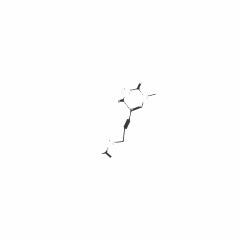 Cn1cc(C#CCNC(=O)C(F)(F)F)c(=O)[nH]c1=O